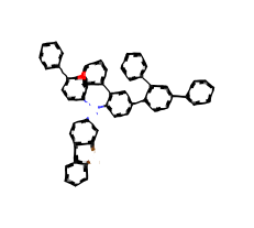 c1ccc(-c2ccc(N(c3ccc4c(c3)sc3ccccc34)c3ccc(-c4ccc(-c5ccccc5)cc4-c4ccccc4)cc3-c3ccccc3)cc2)cc1